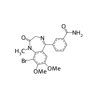 COc1cc2c(c(Br)c1OC)N(C)C(=O)CN=C2c1cccc(C(N)=O)c1